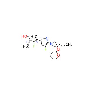 C/C=C(CO)\C(F)=C(/C)c1cnc(N2CC(CCC)(OC3CCCCO3)C2)c(F)c1